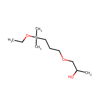 [CH2]C(O)COCCC[Si](C)(C)OCC